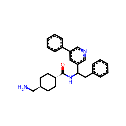 NC[C@H]1CC[C@H](C(=O)NC(Cc2ccccc2)c2cncc(-c3ccccc3)c2)CC1